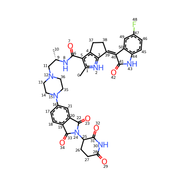 Cc1[nH]c2c(c1C(=O)N[C@@H](C)CN1CCN(c3ccc4c(c3)C(=O)N(C3CCC(=O)NC3=O)C4=O)CC1)CC/C2=C1/C(=O)Nc2ccc(F)cc21